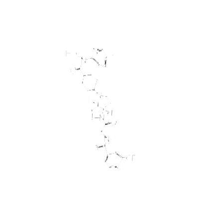 CN(C(=O)C1CCC(N2CC[C@H]3[C@@H]2CCN3C(=O)CNC(=O)c2cccc(C(F)(F)F)c2)CC1)c1ccccn1